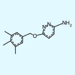 Cc1cc(COc2ccc(N)nn2)cc(C)c1C